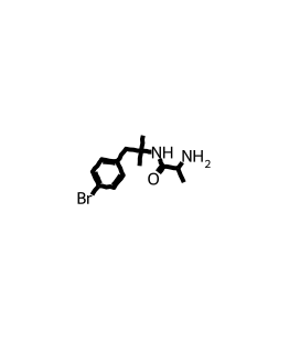 CC(N)C(=O)NC(C)(C)Cc1ccc(Br)cc1